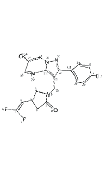 O=C1CC(C=C(F)F)CN1Cc1c(-c2ccc(Cl)cc2)nn2cc(Cl)cnc12